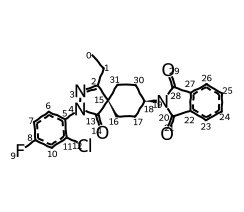 CCC1=NN(c2ccc(F)cc2Cl)C(=O)[C@]12CC[C@H](N1C(=O)c3ccccc3C1=O)CC2